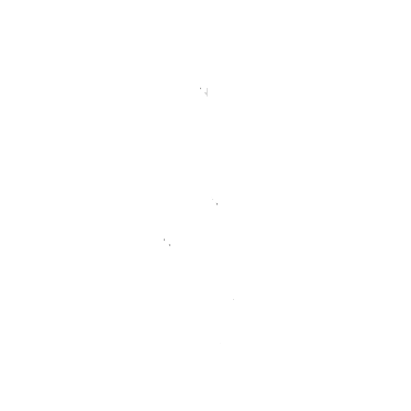 CN(CCCn1cnc2cc(C=O)c3c(c21)CCC3)C1CCCCC1